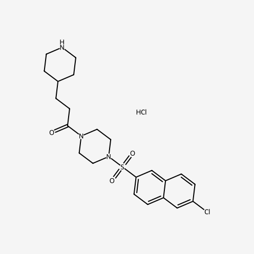 Cl.O=C(CCC1CCNCC1)N1CCN(S(=O)(=O)c2ccc3cc(Cl)ccc3c2)CC1